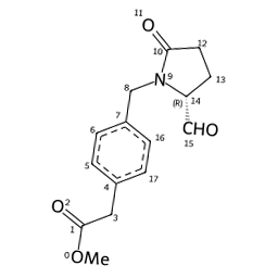 COC(=O)Cc1ccc(CN2C(=O)CC[C@@H]2C=O)cc1